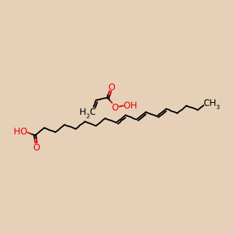 C=CC(=O)OO.CCCCC=CC=CC=CCCCCCCCC(=O)O